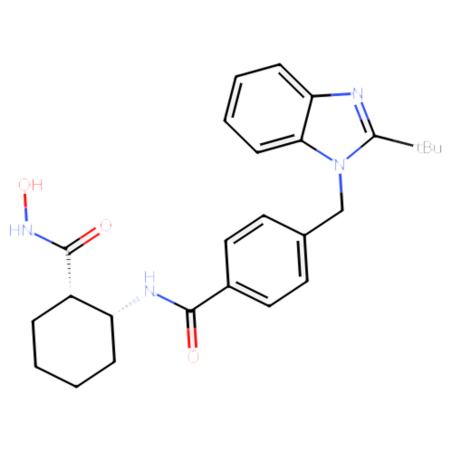 CC(C)(C)c1nc2ccccc2n1Cc1ccc(C(=O)N[C@@H]2CCCC[C@@H]2C(=O)NO)cc1